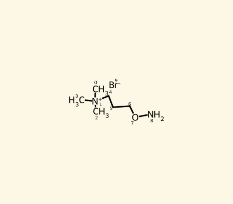 C[N+](C)(C)CCCON.[Br-]